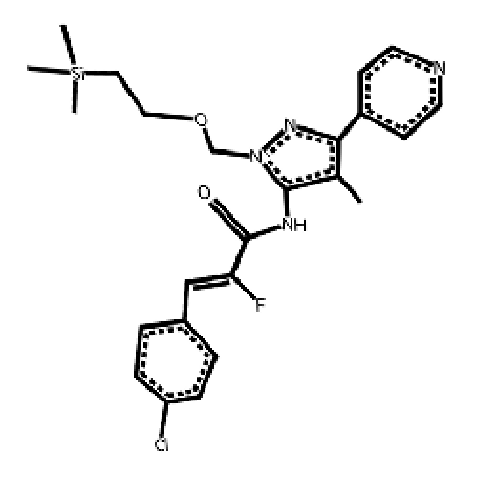 Cc1c(-c2ccncc2)nn(COCC[Si](C)(C)C)c1NC(=O)C(F)=Cc1ccc(Cl)cc1